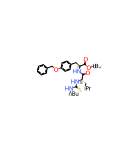 CCCCNC(=S)N[C@@H](CC(C)C)C(=O)N[C@@H](Cc1ccc(OCc2ccccc2)cc1)C(=O)OC(C)(C)C